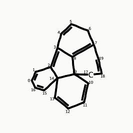 C1=CC2=C3C=CCC4=C3C3(C=CC=CC23C=C1)CC=C4